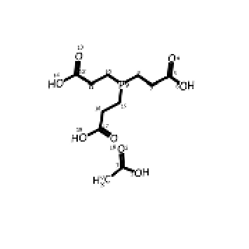 CC(=O)O.O=C(O)CCP(CCC(=O)O)CCC(=O)O